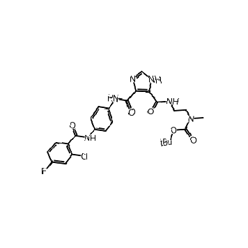 CN(CCNC(=O)c1[nH]cnc1C(=O)Nc1ccc(NC(=O)c2ccc(F)cc2Cl)cc1)C(=O)OC(C)(C)C